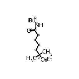 CCOC(C)(C)CCCCC(=O)NC(C)CC